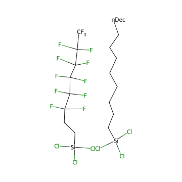 CCCCCCCCCCCCCCCCCC[Si](Cl)(Cl)Cl.FC(F)(F)C(F)(F)C(F)(F)C(F)(F)C(F)(F)C(F)(F)CC[Si](Cl)(Cl)Cl